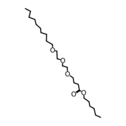 CCCCCCCCCCOCCOCCOCCCC(=O)OCCCCCC